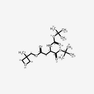 CC1(COC(=O)CC(NC(=O)OC(C)(C)C)C(=O)OC(C)(C)C)COC1